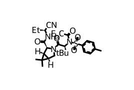 CC[C@@H](C#N)NC(=O)[C@@H]1[C@@H]2[C@H](CN1C(=O)[C@@H](N(C(=O)C(F)(F)F)S(=O)(=O)c1ccc(C)cc1)C(C)(C)C)C2(C)C